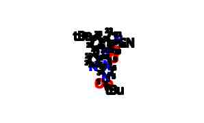 CC(C)(C)OC(=O)N1CCN(C(=O)C(c2cccnc2)N(C(=O)[C@H]2CCCN2C#N)c2ccc(C(C)(C)C)cc2)CC1